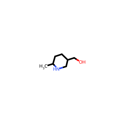 CC1CCC(CO)CN1